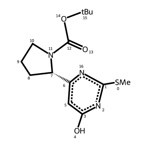 CSc1nc(O)cc([C@@H]2CCCN2C(=O)OC(C)(C)C)n1